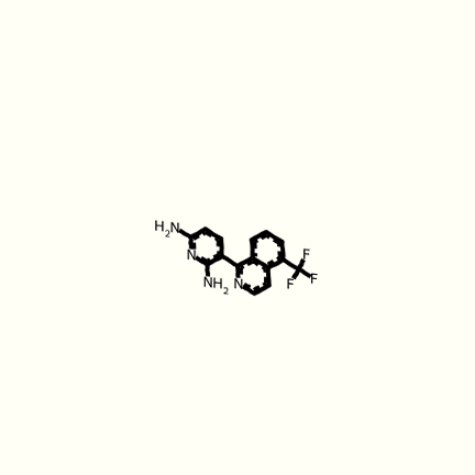 Nc1ccc(-c2nccc3c(C(F)(F)F)cccc23)c(N)n1